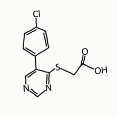 O=C(O)CSc1ncncc1-c1ccc(Cl)cc1